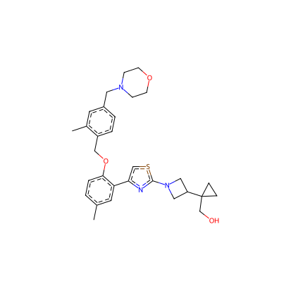 Cc1ccc(OCc2ccc(CN3CCOCC3)cc2C)c(-c2csc(N3CC(C4(CO)CC4)C3)n2)c1